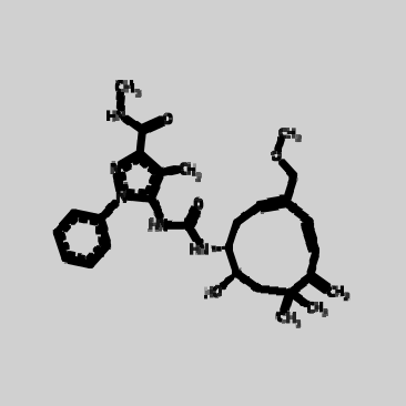 C=C1/C=C\C(COC)=C/C[C@@H](NC(=O)Nc2c(C)c(C(=O)NC)nn2-c2ccccc2)[C@H](O)CC1(C)C